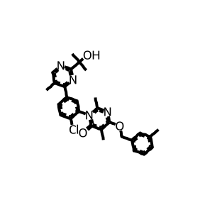 Cc1cccc(COc2nc(C)n(-c3cc(-c4nc(C(C)(C)O)ncc4C)ccc3Cl)c(=O)c2C)c1